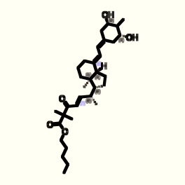 CCCCCOC(=O)C(C)(C)C(=O)/C=C/[C@@H](C)[C@H]1CC[C@H]2/C(=C/C=C3C[C@@H](O)C(C)[C@H](O)C3)CCC[C@]12C